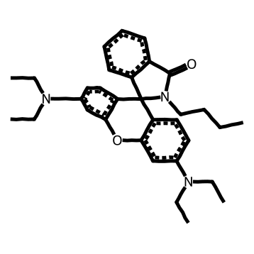 CCCCN1C(=O)c2ccccc2C12c1ccc(N(CC)CC)cc1Oc1cc(N(CC)CC)ccc12